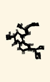 CCCCC(CC)CN(CC(CC)CCC)C1=CC(=C(C#N)C#N)CCC1